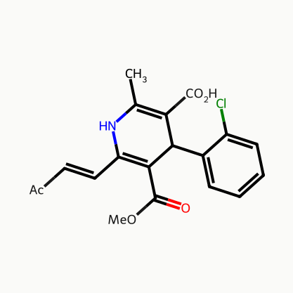 COC(=O)C1=C(C=CC(C)=O)NC(C)=C(C(=O)O)C1c1ccccc1Cl